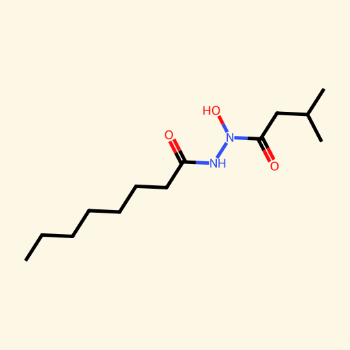 CCCCCCCC(=O)NN(O)C(=O)CC(C)C